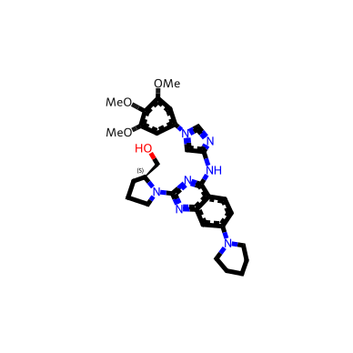 COc1cc(-n2cnc(Nc3nc(N4CCC[C@H]4CO)nc4cc(N5CCCCC5)ccc34)c2)cc(OC)c1OC